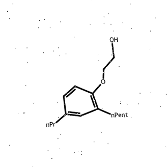 CCCCCc1cc(CCC)ccc1OCCO